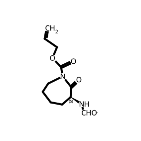 C=CCOC(=O)N1CCCC[C@H](N[C]=O)C1=O